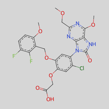 COCc1nc(OC)c2[nH]c(=O)n(-c3cc(OCc4c(OC)ccc(F)c4F)c(OCC(=O)O)cc3Cl)c2n1